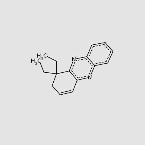 CCC1(CC)CC=Cc2nc3ccccc3nc21